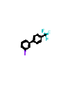 FC(F)(F)c1ccc(-c2[c]ccc(I)c2)cc1